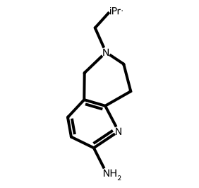 C[C](C)CN1CCc2nc(N)ccc2C1